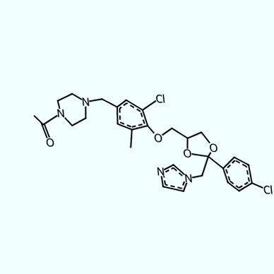 CC(=O)N1CCN(Cc2cc(C)c(OCC3COC(Cn4ccnc4)(c4ccc(Cl)cc4)O3)c(Cl)c2)CC1